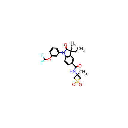 CCC1(C)C(=O)N(c2cccc(OC(F)F)c2)c2ccc(C(=O)NC3(C)CS(=O)(=O)C3)cc21